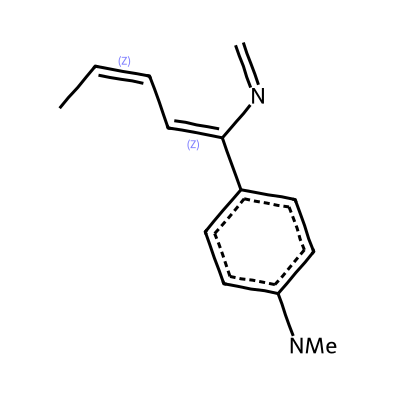 C=N/C(=C\C=C/C)c1ccc(NC)cc1